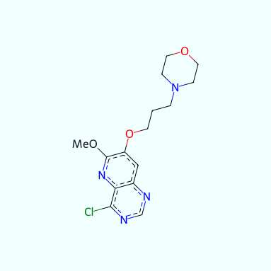 COc1nc2c(Cl)ncnc2cc1OCCCN1CCOCC1